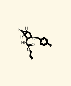 C=CCOC(=O)NC1[C@@H]2C(F)[C@@H]2C[C@H]1OCc1ccc(F)cc1